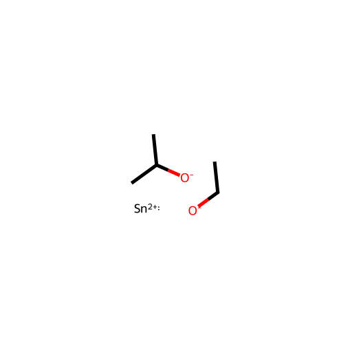 CC(C)[O-].CC[O-].[Sn+2]